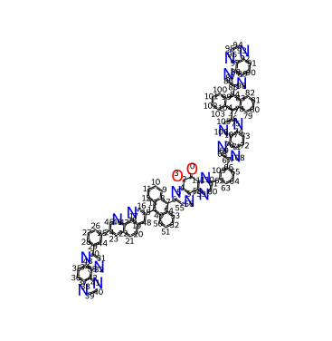 O=C1C(=O)c2nc(-c3c4ccccc4c(-c4cnc5c(ccc6cc(-c7cccc(-c8cnc9c(ccc%10nccnc%109)n8)c7)cnc65)c4)c4ccccc34)cnc2-c2ncc(-c3cccc(-c4cnc5c(ccc6nc(-c7c8ccccc8c(-c8cnc9c(ccc%10nccnc%109)n8)c8ccccc78)cnc65)n4)c3)nc21